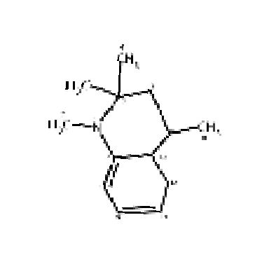 CC1CC(C)(C)N(C)C2=CC=CCC21